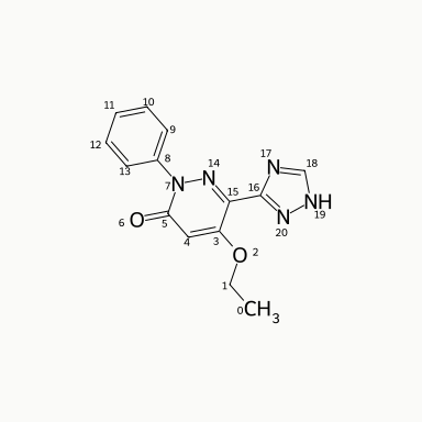 CCOc1cc(=O)n(-c2ccccc2)nc1-c1nc[nH]n1